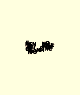 N#C[C@@H]1CC(F)(F)CN1C(=O)CNC(=O)c1ccnc(-c2ccc(OCCCNCCCOc3ccc(-c4cc(C(=O)NCC(=O)N5CC(F)(F)C[C@H]5C#N)ccn4)cc3)cc2)c1